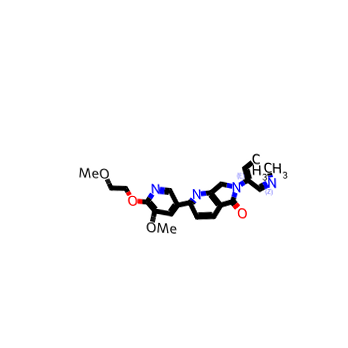 C/C=C(\C=N/C)N1Cc2nc(-c3cnc(OCCOC)c(OC)c3)ccc2C1=O